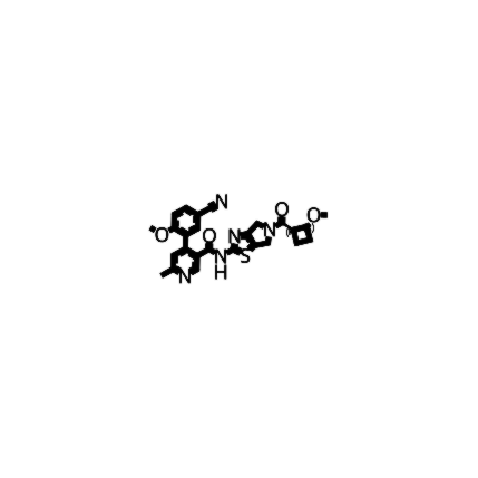 COc1ccc(C#N)cc1-c1cc(C)ncc1C(=O)Nc1nc2c(s1)CN(C(=O)[C@@H]1CC[C@H]1OC)C2